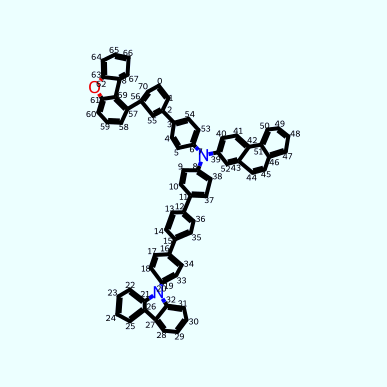 c1cc(-c2ccc(N(c3ccc(-c4ccc(-c5ccc(-n6c7ccccc7c7ccccc76)cc5)cc4)cc3)c3ccc4c(ccc5ccccc54)c3)cc2)cc(-c2cccc3oc4ccccc4c23)c1